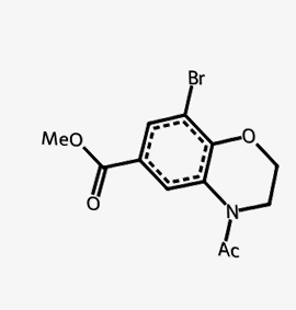 COC(=O)c1cc(Br)c2c(c1)N(C(C)=O)CCO2